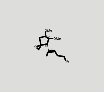 CO[C@@H]1[C@H](OC)CC2(CO2)[C@H]1/C(C)=C/CCC(C)C